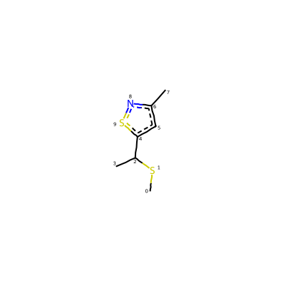 CSC(C)c1cc(C)ns1